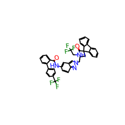 O=C(Nc1ccc2nn(CCCC3(C(=O)NCC(F)(F)F)c4ccccc4-c4ccccc43)cc2c1)c1ccccc1-c1ccc(C(F)(F)F)cc1